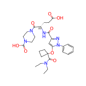 CCN(CC)C(=O)C1(Oc2cc(C(=O)N[C@@H](CCC(=O)O)C(=O)N3CCN(C(=O)O)CC3)nn2-c2ccccc2)CCC1